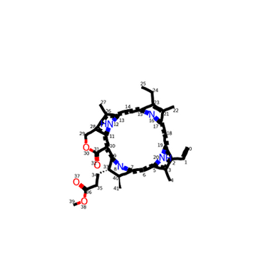 C=Cc1c(C)c2cc3nc(c4c5[nH]c(cc6nc(cc1[nH]2)C(C)=C6CC)c(C)c5COC4=O)[C@@H](CCC(=O)OC)[C@@H]3C